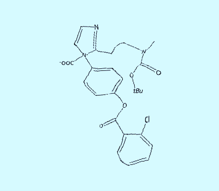 CN(CCC1=NC=C[N+]1(C(=O)[O-])c1ccc(OC(=O)c2ccccc2Cl)cc1)C(=O)OC(C)(C)C